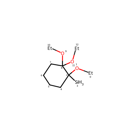 CCOC1([SiH3])CCCCC1(OCC)OCC